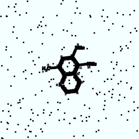 CNc1cc(C)c2ncccc2c1NC